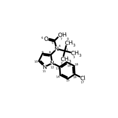 CC(C)(C)N(C(=O)O)c1ccnn1-c1ccc(Cl)cc1